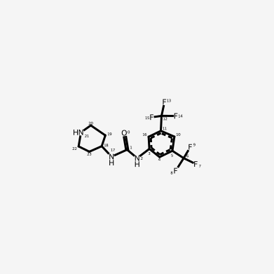 O=C(Nc1cc(C(F)(F)F)cc(C(F)(F)F)c1)NC1CCNCC1